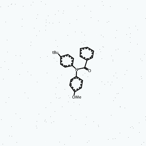 COc1ccc(N(C(=O)c2ccccc2)c2ccc(C(C)(C)C)cc2)cc1